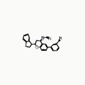 N#C/N=C1/CC(C2CCc3ccccc32)Oc2ccc(-c3cccc(C#N)c3)cc21